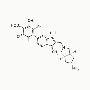 CCc1c(-c2ccc3c(c2)cc(CN2C[C@H]4C[C@H](N)C[C@H]4C2)n3C)[nH]c(=O)c(C(=O)O)c1O.Cl